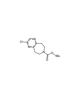 CC(C)(C)OC(=O)N1CCc2ncc(Cl)nc2CC1